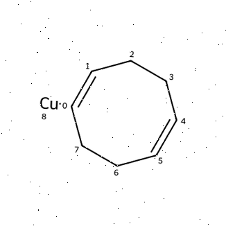 C1=CCCC=CCC1.[Cu]